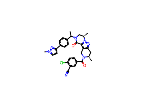 CC(c1ccc(-c2ccn(C)n2)cc1)N1C[C@@H](C)n2nc3c(c2C1=O)CN(C(=O)c1ccc(Cl)c(C#N)c1)[C@H](C)C3